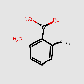 Cc1ccccc1B(O)O.O